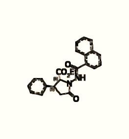 CCOC(=O)[C@H]1[C@H](c2ccccc2)CC(=O)N1NC(=O)c1cccc2ccccc12